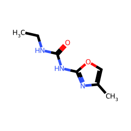 CCNC(=O)Nc1nc(C)co1